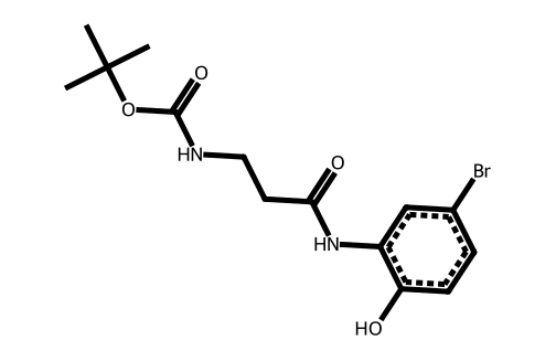 CC(C)(C)OC(=O)NCCC(=O)Nc1cc(Br)ccc1O